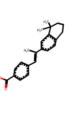 C/C(=C\c1ccc(C(=O)O)cc1)c1ccc2c(c1)C(C)(C)CCC2